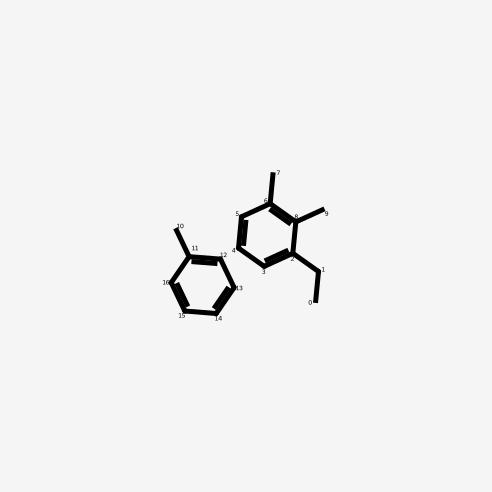 CCc1cccc(C)c1C.Cc1ccccc1